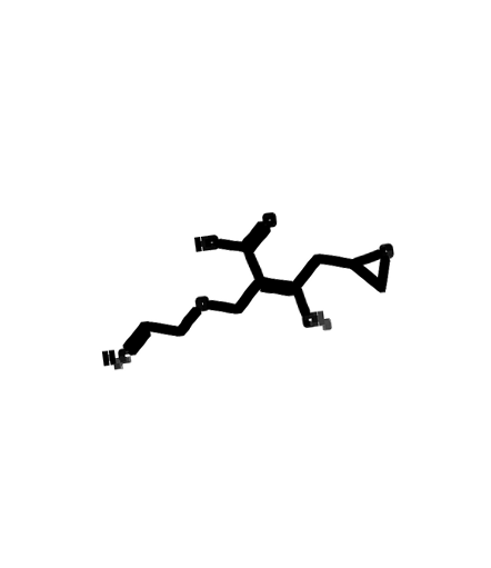 C=CCOCC(C(=O)O)=C(C)CC1CO1